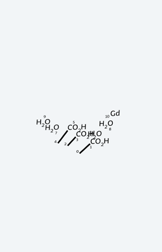 CC(=O)O.CC(=O)O.CC(=O)O.O.O.O.O.[Gd]